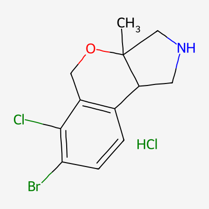 CC12CNCC1c1ccc(Br)c(Cl)c1CO2.Cl